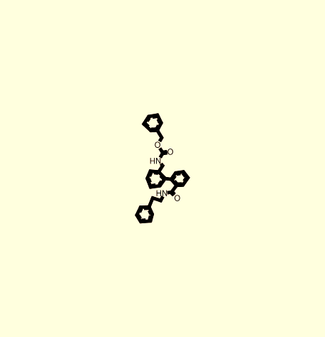 O=C(NCc1ccccc1-c1ccccc1C(=O)NCCc1ccccc1)OCc1ccccc1